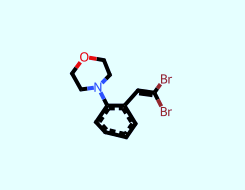 BrC(Br)=Cc1ccccc1N1CCOCC1